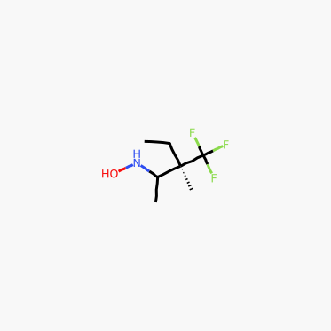 CC[C@](C)(C(C)NO)C(F)(F)F